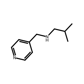 CC(C)CNCc1ccncc1